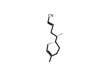 CC1=CC[C@H]([C@@H](C)C/C=C/C#N)CC1